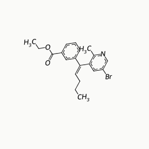 CCC/C=C(/c1cccc(C(=O)OCC)c1)c1cc(Br)cnc1C